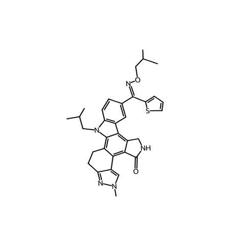 CC(C)CON=C(c1ccc2c(c1)c1c3c(c4c(c1n2CC(C)C)CCc1nn(C)cc1-4)C(=O)NC3)c1cccs1